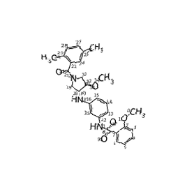 COc1ccccc1S(=O)(=O)Nc1cccc(N[C@@H]2CN(C(=O)c3cc(C)ccc3C)C[C@H]2OC)c1